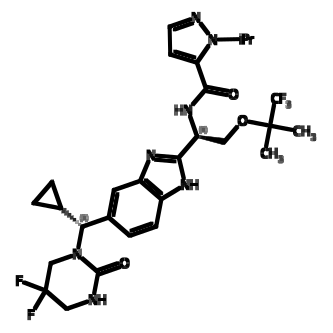 CC(C)n1nccc1C(=O)N[C@@H](COC(C)(C)C(F)(F)F)c1nc2cc([C@@H](C3CC3)N3CC(F)(F)CNC3=O)ccc2[nH]1